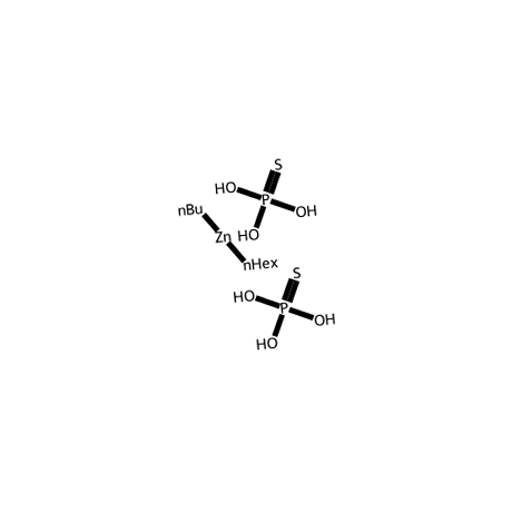 CCCCC[CH2][Zn][CH2]CCC.OP(O)(O)=S.OP(O)(O)=S